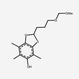 COCOCCCC1Oc2c(C)c(C)c(O)c(C)c2S1